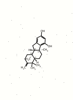 C=C1CC[C@]2(C)[C@H](CC[C@]3(C)c4c(O)cc(O)cc4C[C@@H]23)C1(C)C